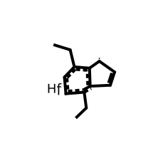 CCc1ccc(CC)c2c1[CH]C=C2.[Hf]